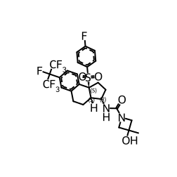 CC1(O)CN(C(=O)N[C@@H]2CC[C@@]3(S(=O)(=O)c4ccc(F)cc4)c4ccc(C(F)(C(F)(F)F)C(F)(F)F)cc4CC[C@@H]23)C1